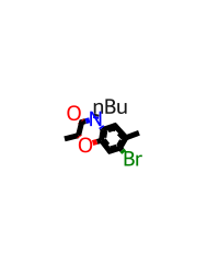 CCCCN1C(=O)C(C)Oc2cc(Br)c(C)cc21